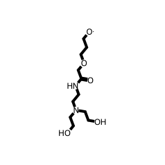 [O]CCCOCC(=O)NCCN(CCO)CCO